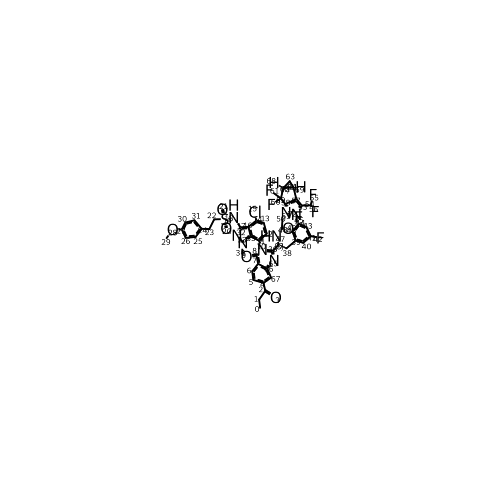 CCC(=O)c1ccc2c(=O)n(-c3ccc(Cl)c4c(NS(=O)(=O)CCc5ccc(OC)cc5)nn(C)c34)c([C@H](Cc3cc(F)cc(F)c3)NC(=O)Cn3nc(C(F)F)c4c3C(F)(F)[C@@H]3C[C@H]43)nc2c1